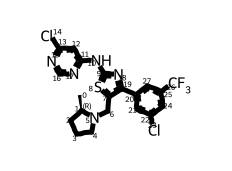 C[C@@H]1CCCN1Cc1sc(Nc2cc(Cl)ncn2)nc1-c1cc(Cl)cc(C(F)(F)F)c1